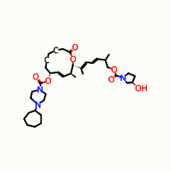 C/C(=C\C=C\C(C)COC(=O)N1CC[C@@H](O)C1)[C@H]1OC(=O)CCCCC[C@@H](OC(=O)N2CCN(C3CCCCCC3)CC2)/C=C/[C@@H]1C